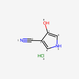 Cl.N#Cc1c[nH]cc1O